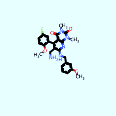 COc1cccc(CNc2nc3c(c(-c4cc(F)ccc4OC)c2CN)c(=O)n(C)c(=O)n3C)c1